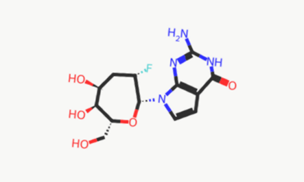 Nc1nc2c(ccn2[C@@H]2O[C@H](CO)[C@@H](O)[C@@H](O)C[C@@H]2F)c(=O)[nH]1